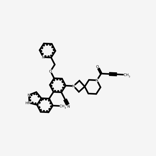 CC#CC(=O)N1CCCC2(C1)CN(c1cc(OCc3ccccn3)cc(-c3c(C)ccc4[nH]ncc34)c1C#N)C2